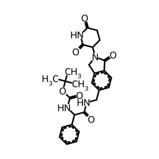 CC(C)(C)OC(=O)NC(C(=O)NCc1ccc2c(c1)CN(C1CCC(=O)NC1=O)C2=O)c1ccccc1